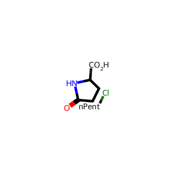 CCCCCCl.O=C1CCC(C(=O)O)N1